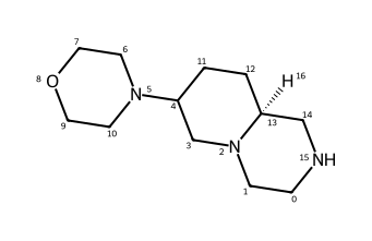 C1CN2CC(N3CCOCC3)CC[C@H]2CN1